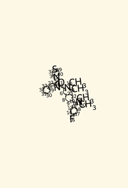 CCN(CC)C(CC1CCC(C(c2ccc(F)cc2)N(C)C)CC1)c1nc(Cc2ccccc2)c(N2CCSCC2)o1